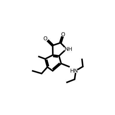 CCNCC.CCc1cc(C)c2c(c1C)C(=O)C(=O)N2